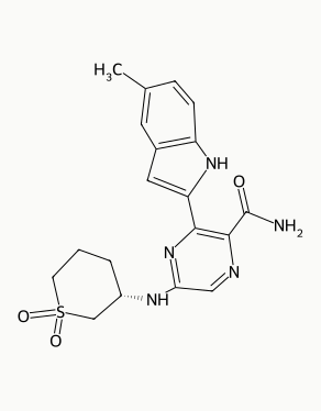 Cc1ccc2[nH]c(-c3nc(N[C@H]4CCCS(=O)(=O)C4)cnc3C(N)=O)cc2c1